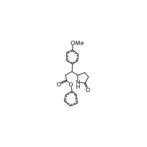 COc1ccc(C(CC(=O)Oc2ccccc2)C2CCC(=O)N2)cc1